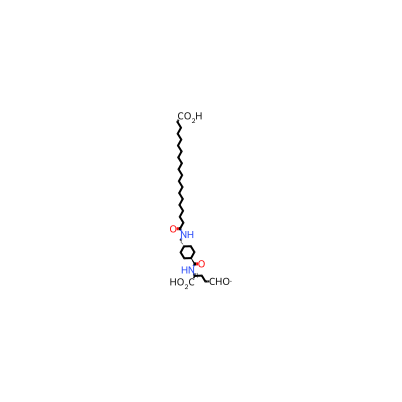 O=[C]CC[C@H](NC(=O)[C@H]1CC[C@H](CNC(=O)CCCCCCCCCCCCCCCCCCC(=O)O)CC1)C(=O)O